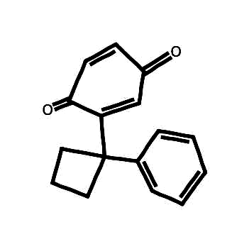 O=C1C=CC(=O)C(C2(c3ccccc3)CCC2)=C1